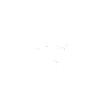 CCn1cc2c(n1)-c1ccc(Cl)cc1C(c1ccccc1Cl)=NC2